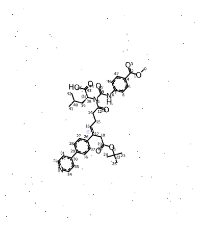 COC(=O)c1ccc(NC(=O)N(C(=O)CC/C=C(\CC(=O)OC(C)(C)C)c2ccc(-c3ccncc3)cc2)[C@@H](CC(C)C)C(=O)O)cc1